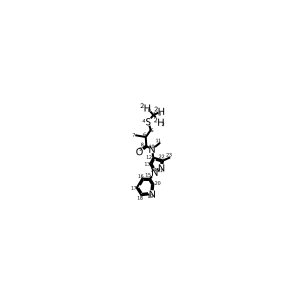 [2H]C([2H])([2H])SCC(C)C(=O)N(C)c1cn(-c2cccnc2)nc1C